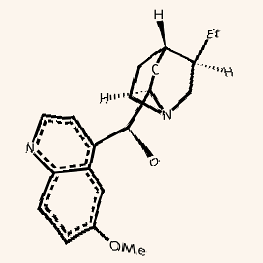 CC[C@H]1CN2CC[C@H]1C[C@@H]2[C@@H]([O])c1ccnc2ccc(OC)cc12